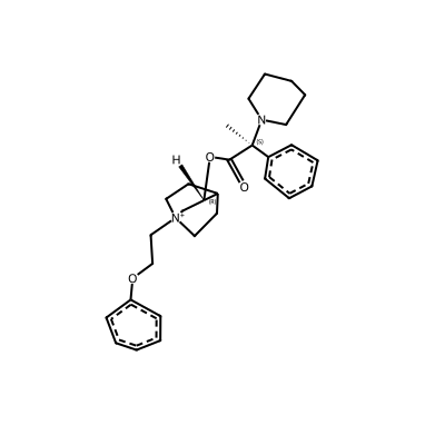 C[C@@](C(=O)O[C@H]1C[N+]2(CCOc3ccccc3)CCC1CC2)(c1ccccc1)N1CCCCC1